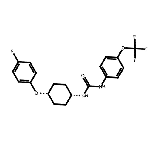 O=C(Nc1ccc(OC(F)(F)F)cc1)N[C@H]1CC[C@@H](Oc2ccc(F)cc2)CC1